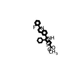 COC(=O)c1cc2[nH]c(-c3ccc4nc(-c5ccccc5F)ccc4c3)c(C3CCCCC3)c2s1